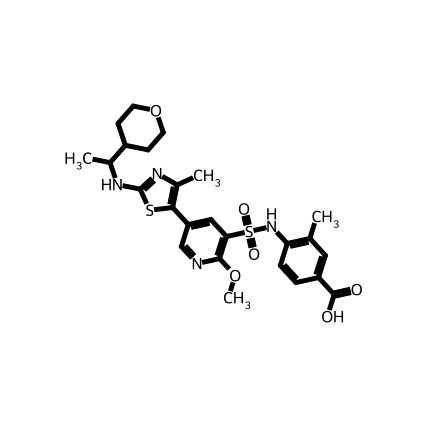 COc1ncc(-c2sc(NC(C)C3CCOCC3)nc2C)cc1S(=O)(=O)Nc1ccc(C(=O)O)cc1C